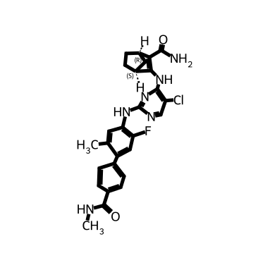 CNC(=O)c1ccc(-c2cc(F)c(Nc3ncc(Cl)c(NC4=C(C(N)=O)[C@@H]5CC[C@H]4C5)n3)cc2C)cc1